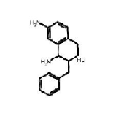 Cl.Nc1ccc2c(c1)C(N)C(Cc1ccccc1)CC2